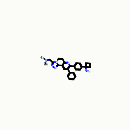 [CH2][CH]N(CCC)Cc1nnc2c3cc(-c4ccccc4)c(-c4ccc(C5(N)CCC5)cc4)nc3ccn12